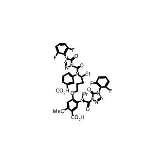 CCC(CCCOc1cc(OC)c(C(=O)O)cc1N(C(=O)n1nnn(-c2c(F)cccc2F)c1=O)C(C)C)N(C(=O)n1nnn(-c2c(F)cccc2F)c1=O)c1cccc(C(=O)O)c1